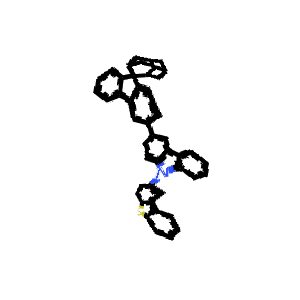 c1ccc2c(c1)-c1cc(-c3ccc4c(c3)c3ccccc3n4-c3ccc4sc5ccccc5c4c3)ccc1C21C2CC3CC(C2)CC1C3